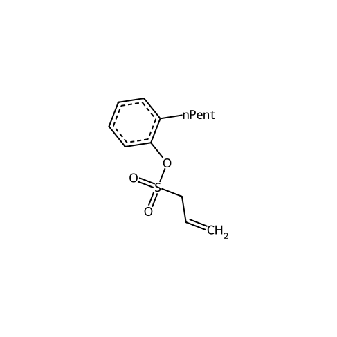 C=CCS(=O)(=O)Oc1ccccc1CCCCC